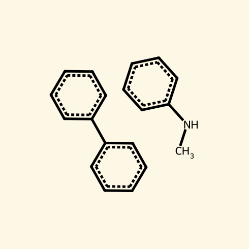 CNc1ccccc1.c1ccc(-c2ccccc2)cc1